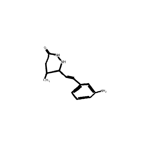 CC1CC(=O)NNC1/C=C/c1cccc(N)c1